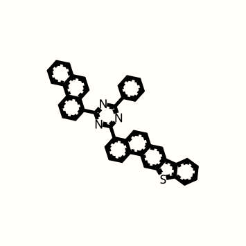 c1ccc(-c2nc(-c3cccc4c3ccc3ccccc34)nc(-c3cccc4c3ccc3cc5c(cc34)sc3ccccc35)n2)cc1